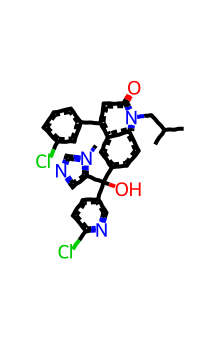 CC(C)Cn1c(=O)cc(-c2cccc(Cl)c2)c2cc(C(O)(c3ccc(Cl)nc3)c3cncn3C)ccc21